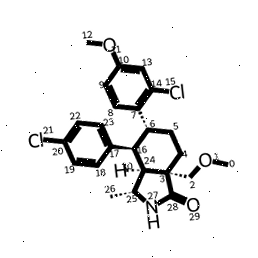 COC[C@@]12CC[C@@H](c3ccc(OC)cc3Cl)[C@H](c3ccc(Cl)cc3)[C@@H]1[C@@H](C)NC2=O